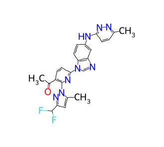 CC(=O)c1ccc(-n2cnc3cc(Nc4ccc(C)nn4)ccc32)nc1-n1nc(C(F)F)cc1C